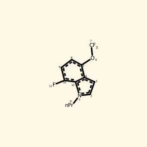 CCCn1ccc2c(OC(F)(F)F)ccc(F)c21